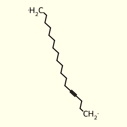 [CH2]CCC#CCCCCCCCCCCCC[CH2]